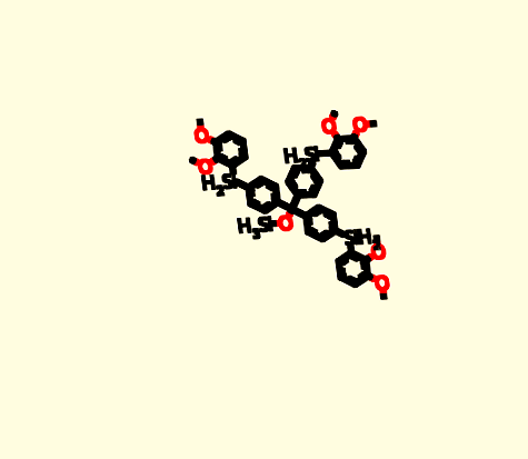 COc1cccc([SiH2]c2ccc(C(O[SiH3])(c3ccc([SiH2]c4cccc(OC)c4OC)cc3)c3ccc([SiH2]c4cccc(OC)c4OC)cc3)cc2)c1OC